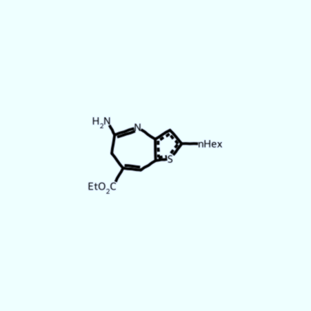 CCCCCCc1cc2c(s1)C=C(C(=O)OCC)CC(N)=N2